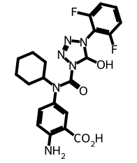 Nc1ccc(N(C(=O)N2N=NN(c3c(F)cccc3F)C2O)C2CCCCC2)cc1C(=O)O